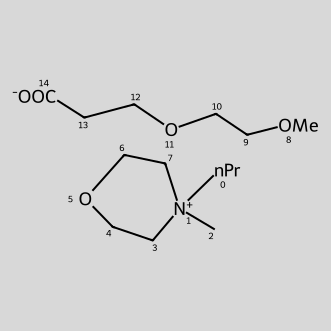 CCC[N+]1(C)CCOCC1.COCCOCCC(=O)[O-]